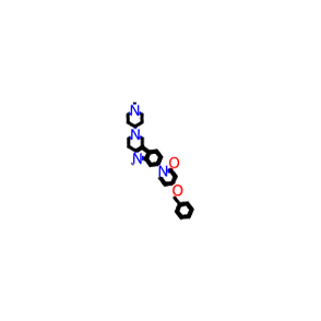 CN1CCC(N2CCc3c(c4ccc(-n5ccc(OCc6ccccc6)cc5=O)cc4n3C)C2)CC1